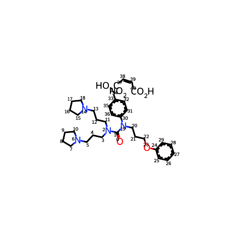 O=C(N(CCCN1CCCC1)CCCN1CCCC1)N(CCCOc1ccccc1)c1ccc([N+](=O)[O-])cc1.O=C(O)/C=C\C(=O)O